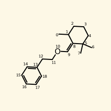 CC1CCCC(C)(C)/C1=C/OCCc1ccccc1